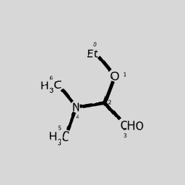 CCOC(C=O)N(C)C